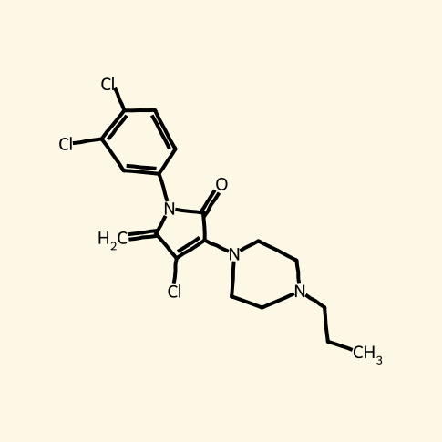 C=C1C(Cl)=C(N2CCN(CCC)CC2)C(=O)N1c1ccc(Cl)c(Cl)c1